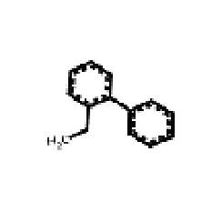 [CH2]Cc1ccccc1-c1ccccc1